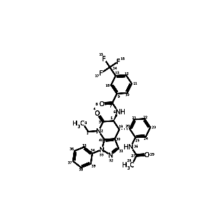 CCN1C(=O)[C@@H](NC(=O)c2cccc(C(F)(F)F)c2)[C@H](c2ccccc2NC(C)=O)c2cnn(-c3ccccc3)c21